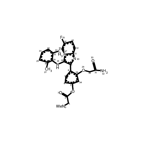 CNCC(=O)Oc1ccc(-c2nc3ccc(F)cn3c2Nc2c(C)cccc2C)c(OCC(N)=O)c1